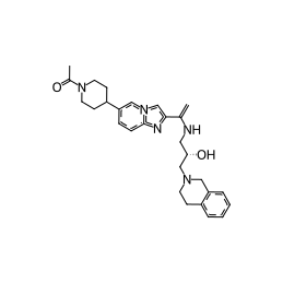 C=C(NC[C@H](O)CN1CCc2ccccc2C1)c1cn2cc(C3CCN(C(C)=O)CC3)ccc2n1